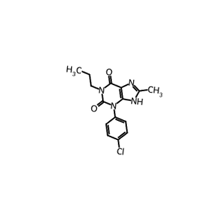 CCCn1c(=O)c2nc(C)[nH]c2n(-c2ccc(Cl)cc2)c1=O